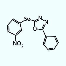 O=[N+]([O-])c1cccc([Se]c2nnc(-c3ccccc3)o2)c1